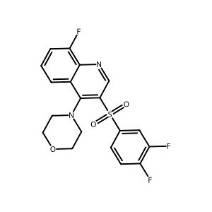 O=S(=O)(c1ccc(F)c(F)c1)c1cnc2c(F)cccc2c1N1CCOCC1